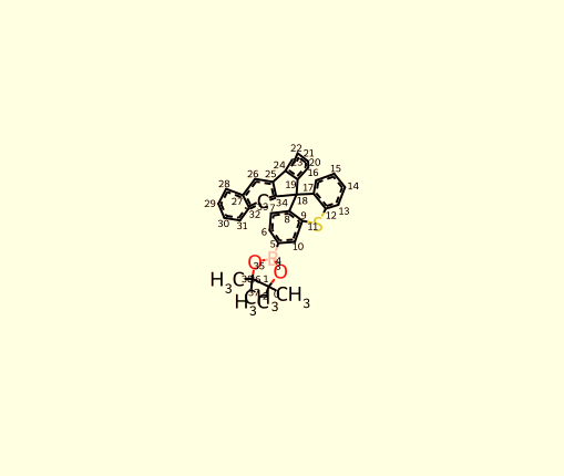 CC1(C)OB(c2ccc3c(c2)Sc2ccccc2C32c3ccccc3-c3cc4ccccc4cc32)OC1(C)C